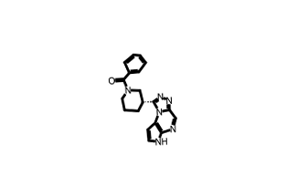 O=C(c1ccccc1)N1CCC[C@@H](c2nnc3cnc4[nH]ccc4n23)C1